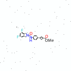 COC(=O)C12CC(c3ccc(NC(=O)N4Cc5cc(F)cc(F)c5C4)cc3)(C1)C2